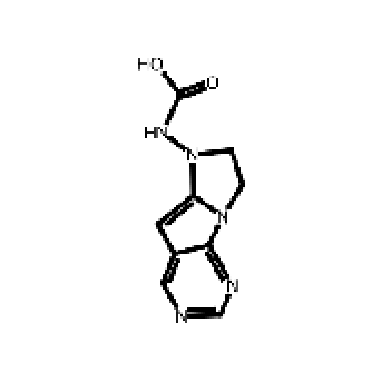 O=C(O)NN1CCn2c1cc1cncnc12